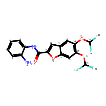 Nc1ccccc1NC(=O)c1cc2cc(OC(F)F)c(OC(F)F)cc2o1